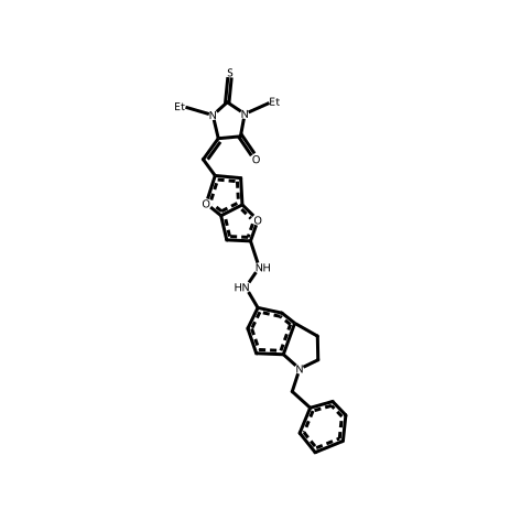 CCN1C(=O)/C(=C\c2cc3oc(NNc4ccc5c(c4)CCN5Cc4ccccc4)cc3o2)N(CC)C1=S